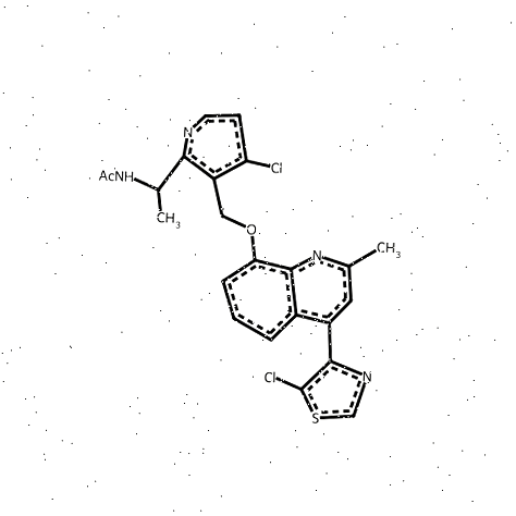 CC(=O)NC(C)c1nccc(Cl)c1COc1cccc2c(-c3ncsc3Cl)cc(C)nc12